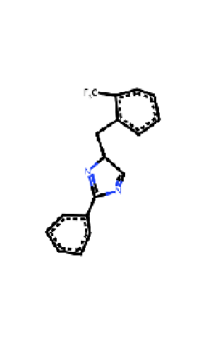 FC(F)(F)c1ccccc1CC1C=NC(c2ccccc2)=N1